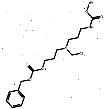 CC(C)(C)OC(=O)NCCCN(CCCNC(=O)OCc1ccccc1)CC(F)(F)F